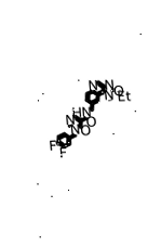 CCOc1nc2cnc3ccc(CNC(=O)c4cncn(Cc5ccc(F)c(F)c5)c4=O)cc3c2n1C